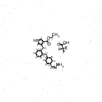 CCOC(=O)c1c[nH]cc1Cc1ccccc1Cc1ccc(/C=N\N)cc1.O=C(O)C(F)(F)F